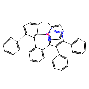 c1ccc(-c2ccc3[se]c4ccccc4c3c2-c2ccccc2-c2nnnc(-c3ccccc3)c2-c2ccccc2)cc1